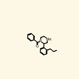 CCCc1ccccc1C1CNCCN1C(=O)c1ccccc1